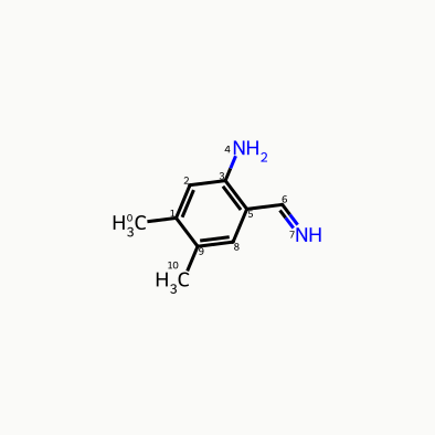 Cc1cc(N)c(C=N)cc1C